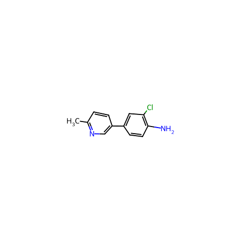 Cc1ccc(-c2ccc(N)c(Cl)c2)cn1